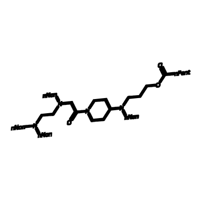 CCCCCCCCCN(CCCCCCCCC)CCN(CCCCCCCCC)CC(=O)N1CCC(N(CCCCCCCCC)CCCOC(=O)CCCCC)CC1